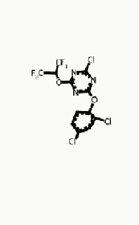 FC(F)(F)C(Oc1nc(Cl)nc(Oc2ccc(Cl)cc2Cl)n1)C(F)(F)F